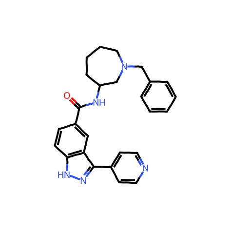 O=C(NC1CCCCN(Cc2ccccc2)C1)c1ccc2[nH]nc(-c3ccncc3)c2c1